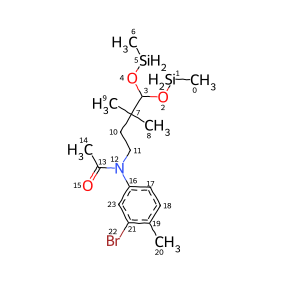 C[SiH2]OC(O[SiH2]C)C(C)(C)CCN(C(C)=O)c1ccc(C)c(Br)c1